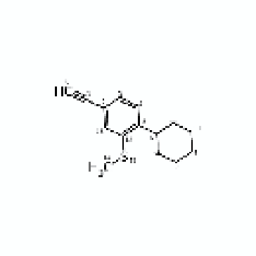 C#Cc1ccc(C2CCCCC2)c(SC)c1